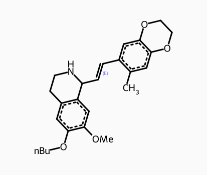 CCCCOc1cc2c(cc1OC)C(/C=C/c1cc3c(cc1C)OCCO3)NCC2